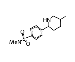 CNS(=O)(=O)c1ccc(C2CCC(C)CN2)cc1